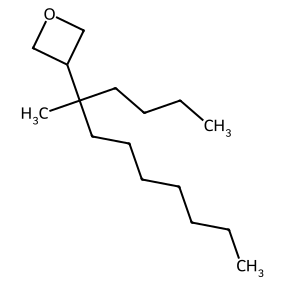 CCCCCCCC(C)(CCCC)C1COC1